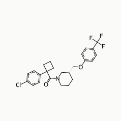 O=C(N1CCC[C@@H](COc2ccc(C(F)(F)F)cc2)C1)C1(c2ccc(Cl)cc2)CCC1